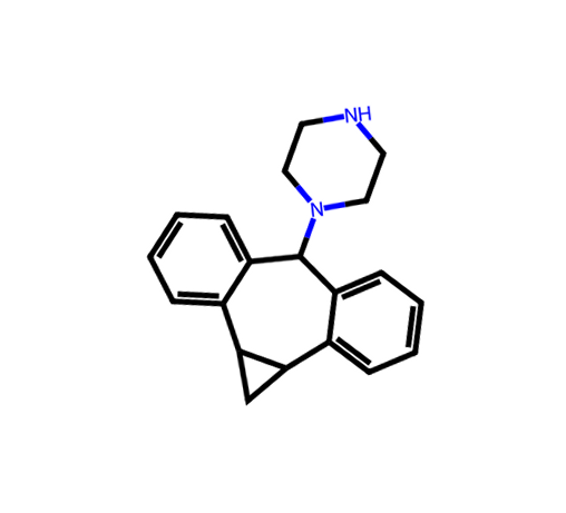 c1ccc2c(c1)C1CC1c1ccccc1C2N1CCNCC1